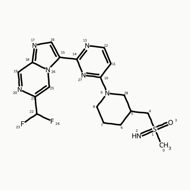 CS(=N)(=O)CC1CCCN(c2ccnc(-c3cnc4cnc(C(F)F)cn34)n2)C1